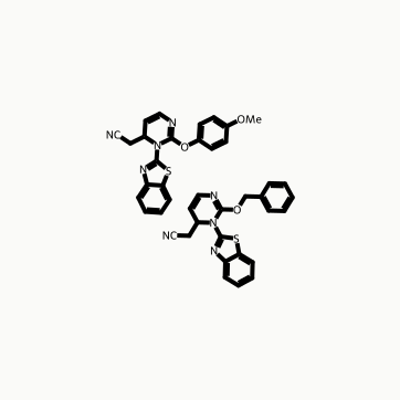 COc1ccc(OC2=NC=CC(CC#N)N2c2nc3ccccc3s2)cc1.N#CCC1C=CN=C(OCc2ccccc2)N1c1nc2ccccc2s1